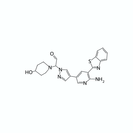 Nc1ncc(-c2cnn(C(C=O)N3CCC(O)CC3)c2)cc1-c1nc2ccccc2s1